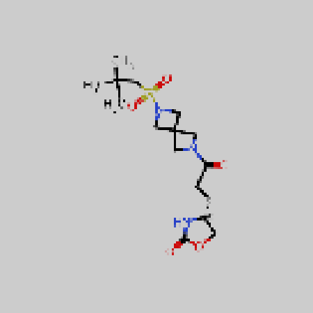 CC(C)(C)CS(=O)(=O)N1CC2(CN(C(=O)CC[C@@H]3COC(=O)N3)C2)C1